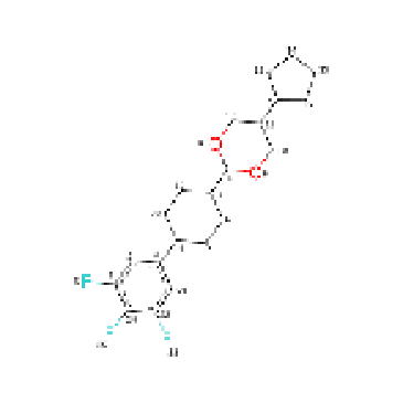 Fc1cc(C2CCC(C3OCC(C4CCCC4)CO3)CC2)cc(F)c1F